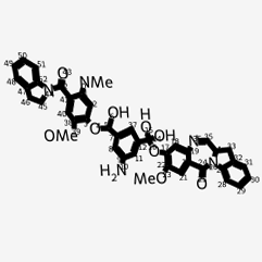 CNc1cc(OC(O)c2cc(N)cc(C(O)(O)Oc3cc4c(cc3OC)C(=O)N3c5ccccc5CC3C=N4)c2)c(OC)cc1C(=O)N1CCc2ccccc21